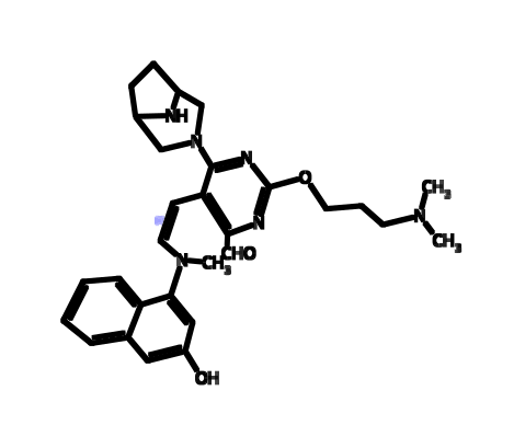 CN(C)CCCOc1nc(C=O)c(/C=C\N(C)c2cc(O)cc3ccccc23)c(N2CC3CCC(C2)N3)n1